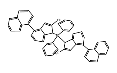 CC1=Cc2c(-c3cccc4ccccc34)cccc2C1[Si](c1ccccc1)(c1ccccc1)C1C(C)=Cc2c(-c3cccc4ccccc34)cccc21